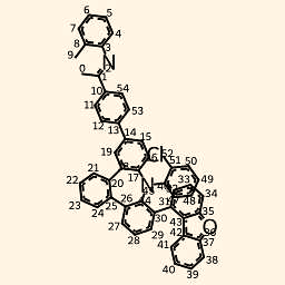 C/C(=N\c1ccccc1C)c1ccc(-c2ccc3c(c2)-c2ccccc2-c2cccc(-c4cccc5oc6ccccc6c45)c2N3c2ccccc2Cl)cc1